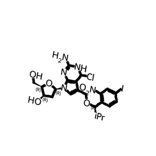 CC(C)[C@@H](OCc1cn([C@H]2C[C@@H](O)[C@@H](CO)O2)c2c1C(Cl)NC(N)=N2)c1ccc(I)cc1[N+](=O)[O-]